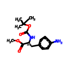 COC(=O)[C@@H](Cc1ccc(N)cc1)NC(=O)OC(C)(C)C